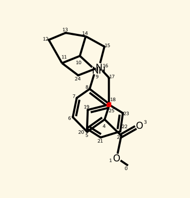 COC(=O)c1cccc(NC2C3CCC2CN(Cc2ccccc2)C3)c1